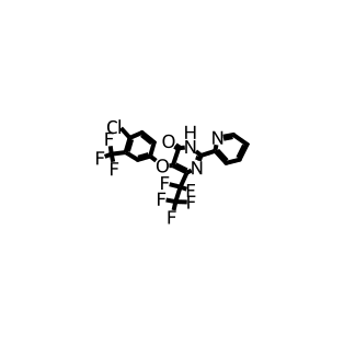 O=c1[nH]c(-c2ccccn2)nc(C(F)(F)C(F)(F)F)c1Oc1ccc(Cl)c(C(F)(F)F)c1